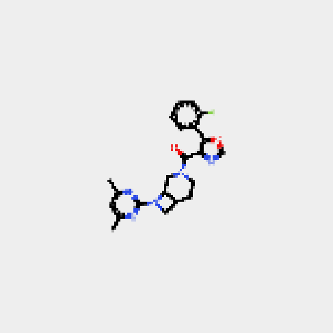 Cc1cc(C)nc(N2CC3CCN(C(=O)c4ncoc4-c4ccccc4F)CC32)n1